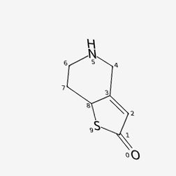 O=C1C=C2CNCCC2S1